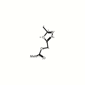 CNC(=O)OCc1nnc(C)o1